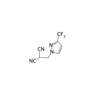 N#CC(C#N)Cn1ccc(C(F)(F)F)n1